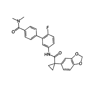 CN(C)C(=O)c1ccc(-c2cc(NC(=O)C3(c4ccc5c(c4)OCO5)CC3)ccc2F)cc1